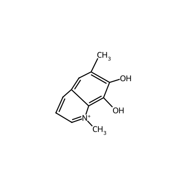 Cc1cc2ccc[n+](C)c2c(O)c1O